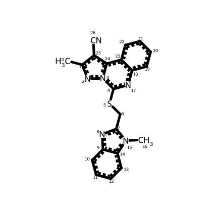 Cc1nn2c(SCc3nc4ccccc4n3C)nc3ccccc3c2c1C#N